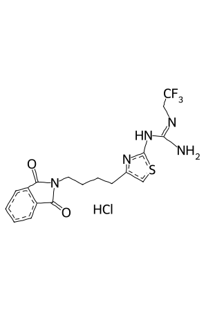 Cl.N/C(=N/CC(F)(F)F)Nc1nc(CCCCN2C(=O)c3ccccc3C2=O)cs1